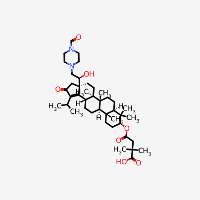 CC(C)C1=C2[C@H]3CC[C@@H]4[C@@]5(C)CC[C@H](OC(=O)CC(C)(C)C(=O)O)C(C)(C)[C@@H]5CC[C@@]4(C)[C@]3(C)CC[C@@]2([C@H](O)CN2CCN(C=O)CC2)CC1=O